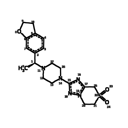 C[C@@H](c1ccc2c(c1)OCC2)N1CCN(c2nc3n(n2)CCS(=O)(=O)C3)CC1